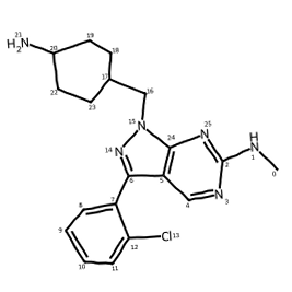 CNc1ncc2c(-c3ccccc3Cl)nn(CC3CCC(N)CC3)c2n1